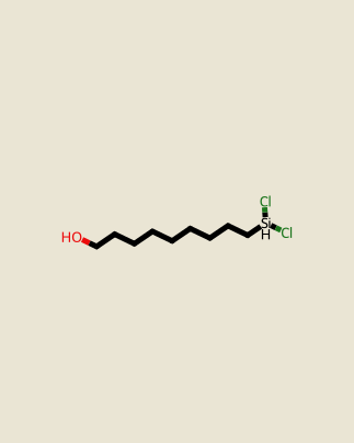 OCCCCCCCCC[SiH](Cl)Cl